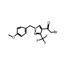 COc1ccc(Cn2cc(C(=O)CBr)c(C(F)(F)F)n2)cc1